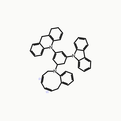 C1=CC2=C(CC1)Cc1ccccc1N2C1=CC(N2C/C=C\C=C/Cc3ccccc32)CC(n2c3ccccc3c3ccccc32)=C1